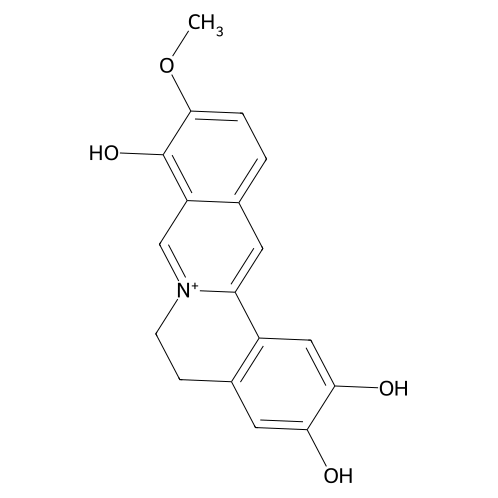 COc1ccc2cc3[n+](cc2c1O)CCc1cc(O)c(O)cc1-3